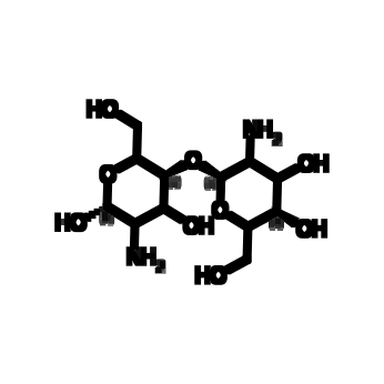 NC1C(O)[C@@H](O)C(CO)O[C@H]1O[C@@H]1C(CO)O[C@@H](O)C(N)C1O